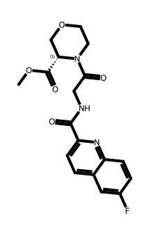 COC(=O)[C@@H]1COCCN1C(=O)CNC(=O)c1ccc2cc(F)ccc2n1